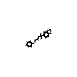 CC(C)(CCCSc1ccccc1)c1ccc2c(c1)OCO2